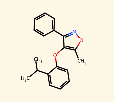 Cc1onc(-c2ccccc2)c1Oc1ccccc1C(C)C